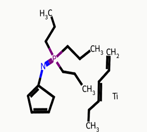 C=CC=CCC.CCCP(CCC)(CCC)=NC1=CC=CC1.[Ti]